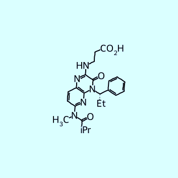 CC[C@@H](c1ccccc1)n1c(=O)c(NCCC(=O)O)nc2ccc(N(C)C(=O)C(C)C)nc21